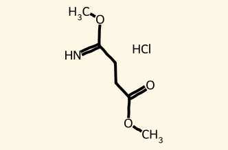 COC(=N)CCC(=O)OC.Cl